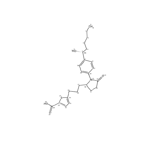 CCCCC[C@@H](O)c1ccc(N2C(=O)CCC2CCCc2ccc(C(=O)O)s2)cc1